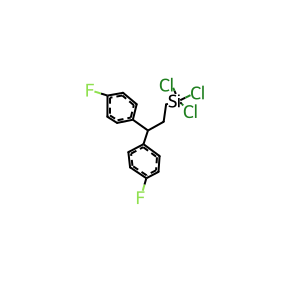 Fc1ccc(C(CC[Si](Cl)(Cl)Cl)c2ccc(F)cc2)cc1